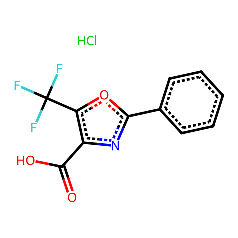 Cl.O=C(O)c1nc(-c2ccccc2)oc1C(F)(F)F